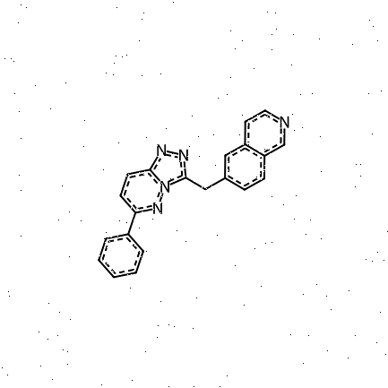 c1ccc(-c2ccc3nnc(Cc4ccc5cnccc5c4)n3n2)cc1